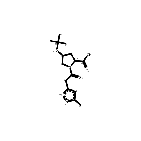 Cc1cc(CC(=O)N2CC(OC(C)(C)C)CC2C(=O)O)on1